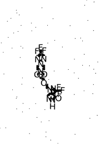 O=c1[nH]ncc2c1c(C(F)(F)F)nn2CCOCCS(=O)(=O)N1CCN(c2ncc(C(F)(F)F)cn2)CC1